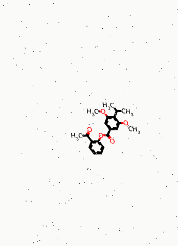 COc1cc(C(=O)Oc2ccccc2C(C)=O)cc(OC)c1C(C)C